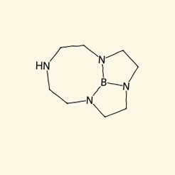 C1CN2CCN3CCN(CCN1)B23